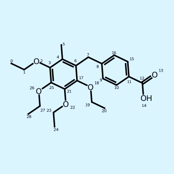 CCOc1c(C)c(Cc2ccc(C(=O)O)cc2)c(OCC)c(OCC)c1OCC